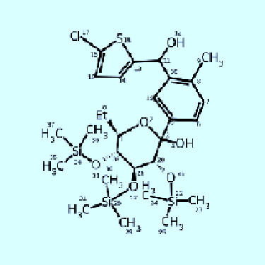 CC[C@H]1OC(O)(c2ccc(C)c(C(O)c3ccc(Cl)s3)c2)[C@H](O[Si](C)(C)C)[C@@H](O[Si](C)(C)C)[C@@H]1O[Si](C)(C)C